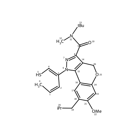 C/C=C\C(=C/S)n1nc(C(=O)N(C)C(C)(C)C)c2c1-c1cc(CC(C)C)c(OC)cc1OC2